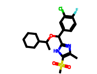 Cc1nc(C(OC(C)C2CCCCC2)c2ccc(F)c(Cl)c2)[nH]c1S(C)(=O)=O